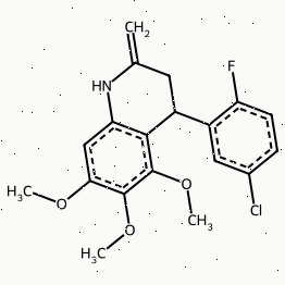 C=C1CC(c2cc(Cl)ccc2F)c2c(cc(OC)c(OC)c2OC)N1